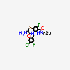 CCCCNC(=O)c1cc2c(cc1F)SC[C@H](N)C(=O)N2Cc1ccc(Cl)c(F)c1